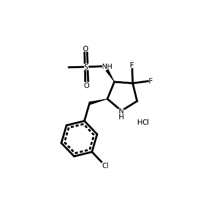 CS(=O)(=O)N[C@@H]1[C@H](Cc2cccc(Cl)c2)NCC1(F)F.Cl